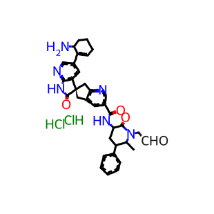 CC1C(c2ccccc2)CC(NC(=O)c2cnc3c(c2)C[C@@]2(C3)C(=O)Nc3ncc(C4=CCCCC4N)cc32)C(=O)N1CC=O.Cl.Cl